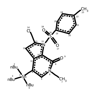 CCC[CH2][Sn]([CH2]CCC)([CH2]CCC)[c]1cn(C)c(=O)c2c1cc(Cl)n2S(=O)(=O)c1ccc(C)cc1